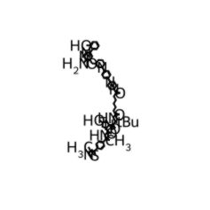 Cc1ncsc1-c1ccc(C(C)NC(=O)C2CC(O)CN2C(=O)C(NC(=O)CCCCCC(=O)N2CCN(c3ccc(N4CCCC(Oc5cc(-c6ccccc6O)nnc5N)C4)cc3)CC2)C(C)(C)C)cc1